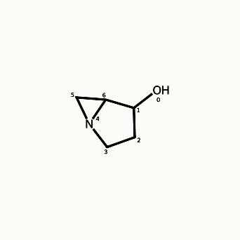 OC1CCN2CC12